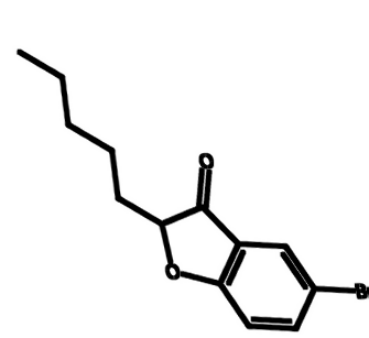 CCCCCC1Oc2ccc(Br)cc2C1=O